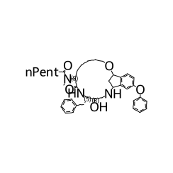 CCCCCC(=O)N(C)[C@H]1CCCCCOC2CC(NC[C@@H](O)[C@H](Cc3ccccc3)NC1=O)c1cc(Oc3ccccc3)ccc12